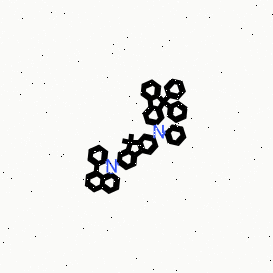 CC1(C)c2cc(N(c3ccccc3)c3ccc4c(c3)C(c3ccccc3)(c3ccccc3)c3ccccc3-4)ccc2-c2ccc(N3c4ccccc4-c4cccc5cccc3c45)cc21